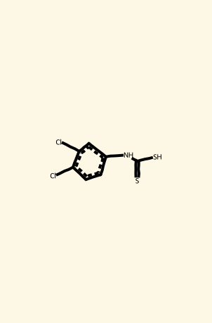 S=C(S)Nc1ccc(Cl)c(Cl)c1